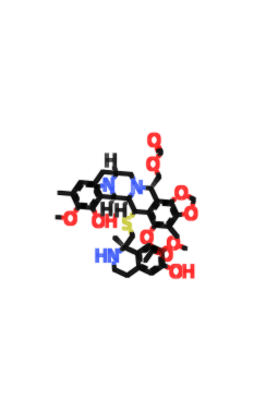 COc1cc2c(cc1O)CCN[C@]2(C)CS[C@@H]1c2c(OC(C)=O)c(C)c3c(c2[C@H](COC=O)N2C[C@H]4Cc5cc(C)c(OC)c(O)c5[C@H]([C@H]12)N4C)OCO3